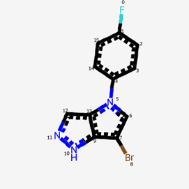 Fc1ccc(-n2cc(Br)c3[nH]ncc32)cc1